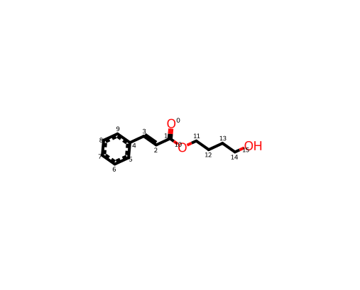 O=C(C=Cc1ccccc1)OCCCCO